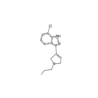 CCCN1CC=C(c2n[nH]c3c(Cl)cccc23)C1